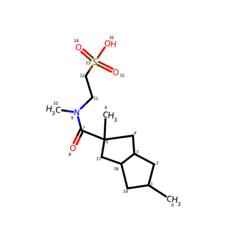 CC1CC2CC(C)(C(=O)N(C)CCS(=O)(=O)O)CC2C1